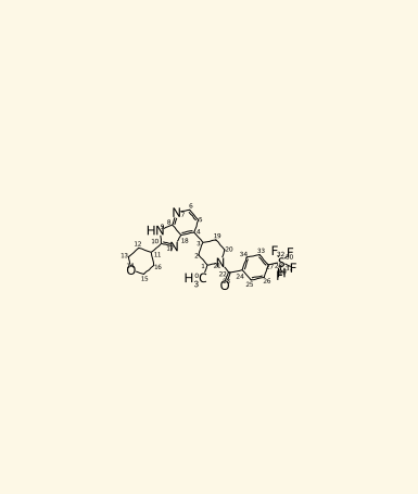 CC1CC(c2ccnc3[nH]c(C4CCOCC4)nc23)CCN1C(=O)c1ccc([SH](F)(F)(F)F)cc1